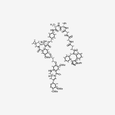 COc1ccc(C2=CN3C(=O)c4cc(OC)c(OCCCOc5cc6c(cc5OC)C(=O)N5CC7(CC7)C[C@H]5C(O)N6C(=O)OCc5ccc(NC(=O)[C@H](C)NC(=O)[C@@H](NC(=O)CNC(=O)CNC(=O)CCC(=O)N6Cc7ccccc7-c7nnn(C(C)C)c7-c7ccccc76)C(C)C)cc5)cc4NC[C@@H]3C2)cc1OC